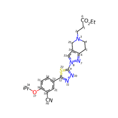 CCOC(=O)CCN1CCc2nn(-c3nnc(-c4ccc(OC(C)C)c(C#N)c4)s3)cc2C1